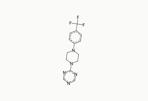 FC(F)(F)c1ccc(N2CCN(c3ncncn3)CC2)cc1